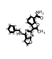 Cc1oc2c(C(N)=O)cccc2c1-c1nc(NCc2ccccc2)c2c(n1)OCC2